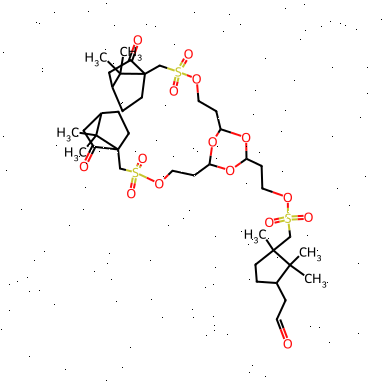 CC1(CS(=O)(=O)OCCC2OC(CCOS(=O)(=O)CC34CCC(CC3=O)C4(C)C)OC(CCOS(=O)(=O)CC34CCC(CC3=O)C4(C)C)O2)CCC(CC=O)C1(C)C